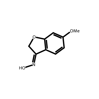 COc1ccc2c(c1)OCC2=NO